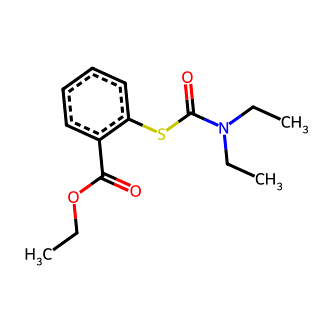 CCOC(=O)c1ccccc1SC(=O)N(CC)CC